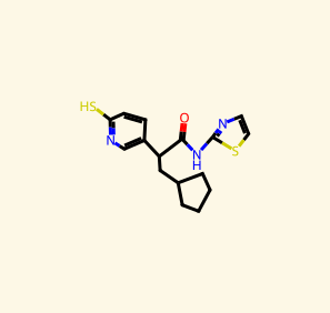 O=C(Nc1nccs1)C(CC1CCCC1)c1ccc(S)nc1